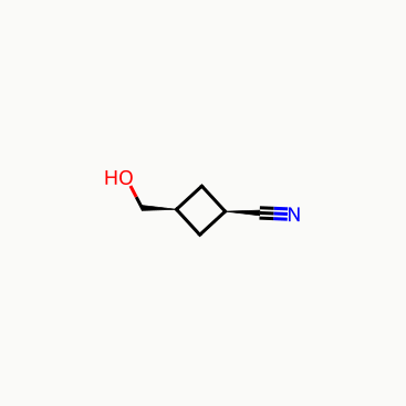 N#C[C@H]1C[C@@H](CO)C1